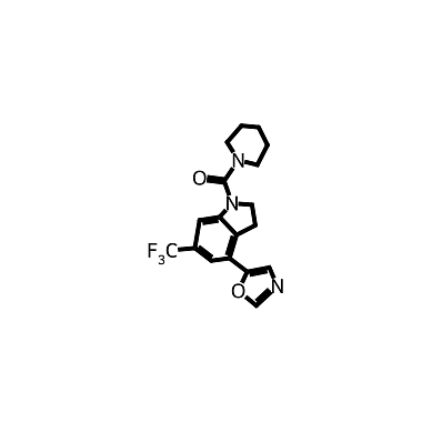 O=C(N1CCCCC1)N1CCc2c(-c3cnco3)cc(C(F)(F)F)cc21